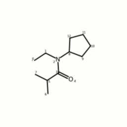 [CH2]CN(C(=O)C(C)C)C1CCCC1